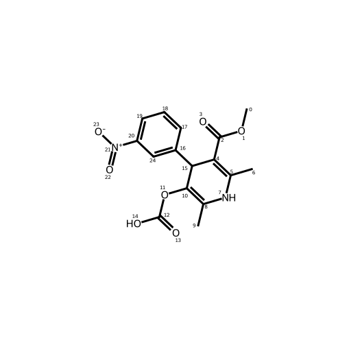 COC(=O)C1=C(C)NC(C)=C(OC(=O)O)C1c1cccc([N+](=O)[O-])c1